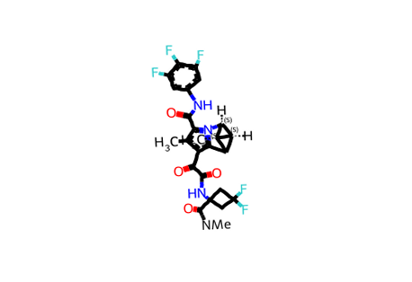 CNC(=O)C1(NC(=O)C(=O)c2c(C)c(C(=O)Nc3cc(F)c(F)c(F)c3)n3c2C2[C@@H]4[C@H]3[C@]24C)CC(F)(F)C1